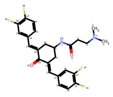 CN(C)CCC(=O)NC1C/C(=C\c2ccc(F)c(F)c2)C(=O)/C(=C/c2ccc(F)c(F)c2)C1